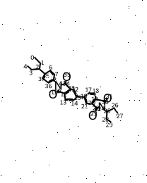 CCC(CC)c1ccc(N2C(=O)c3ccc(-c4ccc5c(c4)C(=O)N(C(CC)CC)C5=O)cc3C2=O)cc1